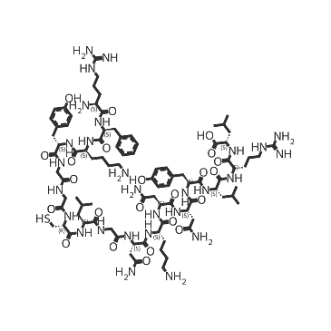 CC(C)C[C@H](NC(=O)[C@H](CCCNC(=N)N)NC(=O)[C@H](CC(C)C)NC(=O)[C@H](Cc1ccc(O)cc1)NC(=O)[C@H](CC(N)=O)NC(=O)[C@H](CC(N)=O)NC(=O)[C@H](CCCCN)NC(=O)[C@H](CC(N)=O)NC(=O)CNC(=O)[C@H](CC(C)C)NC(=O)[C@H](CS)NC(=O)CNC(=O)CNC(=O)[C@H](Cc1ccc(O)cc1)NC(=O)[C@H](CCCCN)NC(=O)[C@H](Cc1ccccc1)NC(=O)[C@@H](N)CCCNC(=N)N)C(=O)O